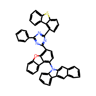 c1ccc(-c2nc(-c3ccc(-n4c5ccccc5c5cc6ccccc6cc54)c4c3oc3ccccc34)nc(-c3cccc4sc5ccccc5c34)n2)cc1